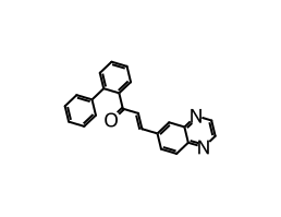 O=C(C=Cc1ccc2nccnc2c1)c1ccccc1-c1ccccc1